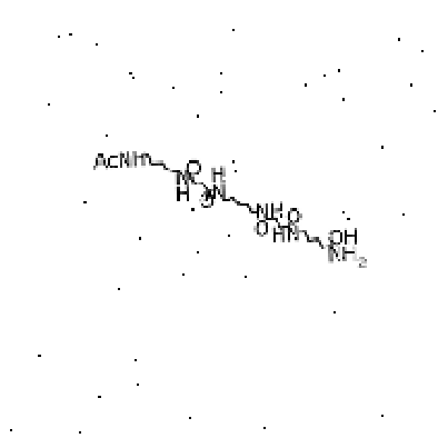 CC(=O)NCCCCCNC(=O)CCC(=O)NCCCCCNC(=O)CCC(=O)NCCCCC(N)O